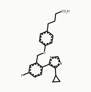 O=C(O)CCCc1ccc(OCc2cc(F)ccc2-c2scnc2C2CC2)cc1